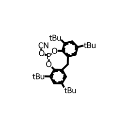 CC(C)(C)c1cc2c(c(C(C)(C)C)c1)OP(OC#N)Oc1c(cc(C(C)(C)C)cc1C(C)(C)C)C2